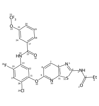 CCC(=O)Nc1nc2ccc(Oc3cc(NC(=O)c4cccc(OC(F)(F)F)c4)c(F)cc3Cl)nc2s1